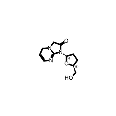 O=C1CN2CC=CN=C2N1[C@@H]1CC[C@@H](CO)O1